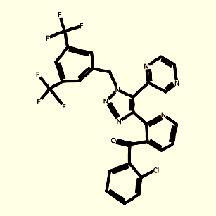 O=C(c1ccccc1Cl)c1cccnc1-c1nnn(Cc2cc(C(F)(F)F)cc(C(F)(F)F)c2)c1-c1cnccn1